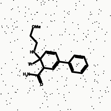 COCCNC1(C(C)C)C=CC(c2ccccc2)=CC1C(N)=O